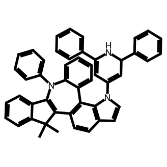 CC1(C)C2=C(c3ccccc31)N(c1ccccc1)c1ccccc1-c1c2ccc2ccn(C3=CC(c4ccccc4)NC(c4ccccc4)=C3)c12